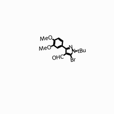 COc1ccc(-c2nn(C(C)(C)C)c(Br)c2C=O)cc1OC